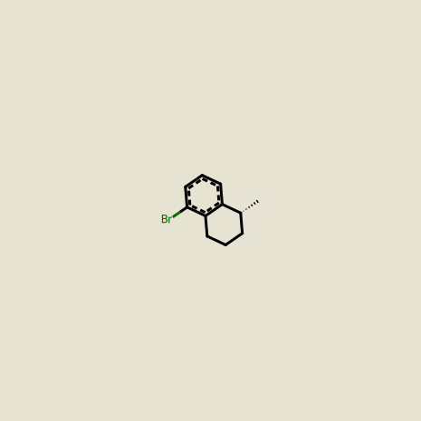 C[C@@H]1CCCc2c(Br)cccc21